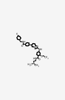 CN(C)CCNC(=O)c1ccc(Nc2nc3ccc(-c4ccc(C(=O)NCc5ccc(F)cc5)cc4)cn3n2)cc1OCC(F)(F)F